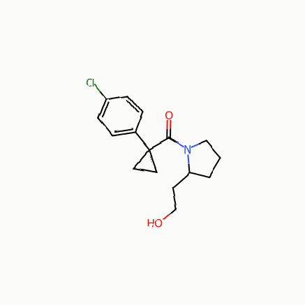 O=C(N1CCCC1CCO)C1(c2ccc(Cl)cc2)CC1